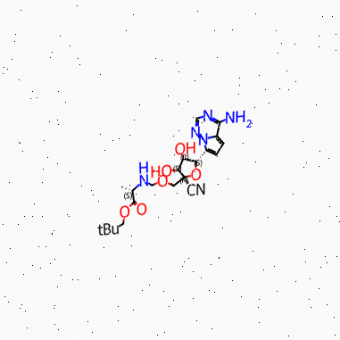 C[C@H](NCOC[C@@]1(C#N)O[C@@H](c2ccc3c(N)ncnn23)[C@H](O)[C@@H]1O)C(=O)OCC(C)(C)C